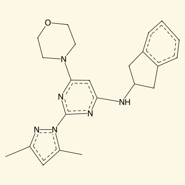 Cc1cc(C)n(-c2nc(NC3Cc4ccccc4C3)cc(N3CCOCC3)n2)n1